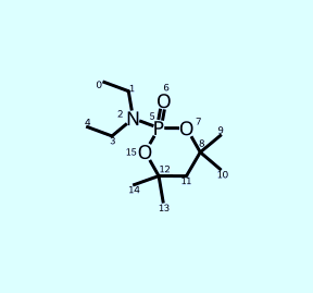 CCN(CC)P1(=O)OC(C)(C)CC(C)(C)O1